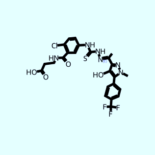 C/C(=N\NC(=S)Nc1ccc(Cl)c(C(=O)NCCC(=O)O)c1)c1nn(C)c(-c2ccc(C(F)(F)F)cc2)c1O